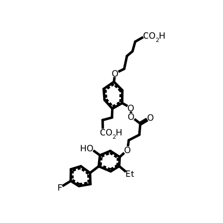 CCc1cc(-c2ccc(F)cc2)c(O)cc1OCCC(=O)OOc1cc(OCCCCC(=O)O)ccc1CCC(=O)O